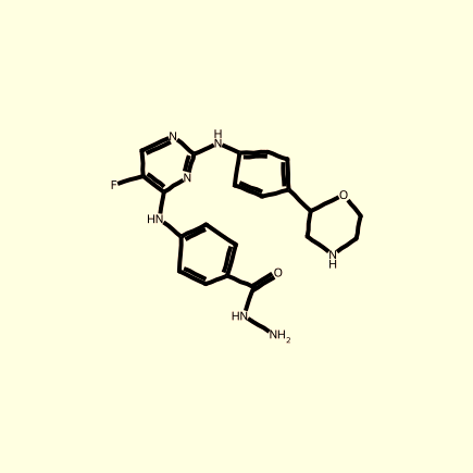 NNC(=O)c1ccc(Nc2nc(Nc3ccc(C4CNCCO4)cc3)ncc2F)cc1